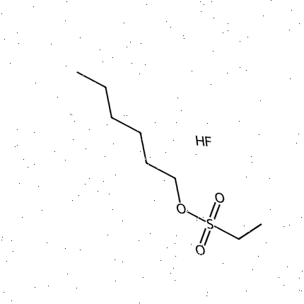 CCCCCCOS(=O)(=O)CC.F